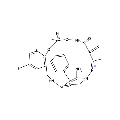 C=C1C(=O)NC[C@H](C)Oc2ncc(F)cc2CNC2=NCN(/N=C\1C)C(N)=C2c1ccccc1